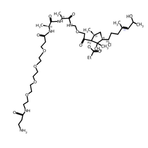 CCC(=O)O[C@]1(C(=O)COCNC(=O)[C@H](C)NC(=O)[C@H](C)NC(=O)CCOCCOCCOCCOCCNC(=O)CCN)[C@@H](C)C[C@@H]([C@@H](Cl)CC/C(C)=C/C(C)O)C1(C)C